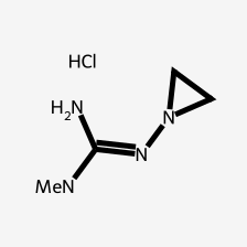 CNC(N)=NN1CC1.Cl